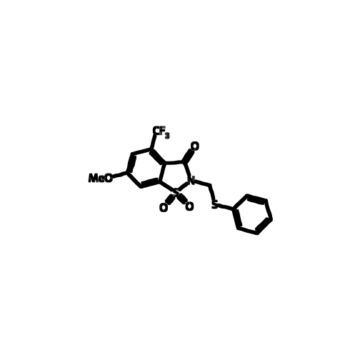 COc1cc(C(F)(F)F)c2c(c1)S(=O)(=O)N(CSc1ccccc1)C2=O